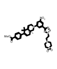 COC(=O)c1ccc(C2=CC[C@]3(C)CN(c4cc(-c5nnn(CCN6CCS(=O)(=O)CC6)n5)cc([N+](=O)[O-])c4)CC=C3C2(C)C)cc1